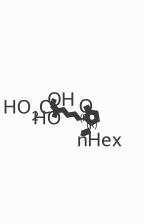 CCCCCCC=C[C@H]1CCC(=O)[C@@H]1CCCCC(O)=C(O)C(=O)O